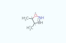 CC1BNOC1C